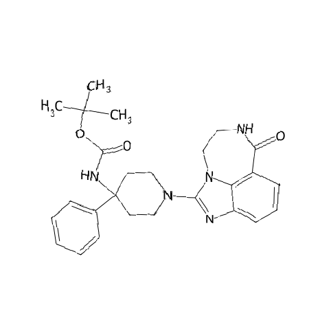 CC(C)(C)OC(=O)NC1(c2ccccc2)CCN(c2nc3cccc4c3n2CCNC4=O)CC1